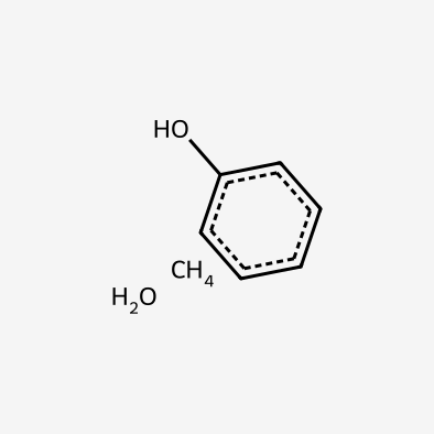 C.O.Oc1ccccc1